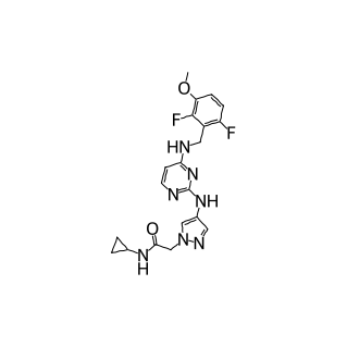 COc1ccc(F)c(CNc2ccnc(Nc3cnn(CC(=O)NC4CC4)c3)n2)c1F